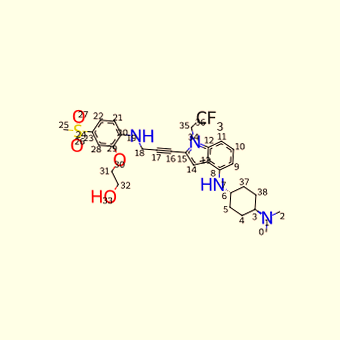 CN(C)[C@H]1CC[C@H](Nc2cccc3c2cc(C#CCNc2ccc(S(C)(=O)=O)cc2OCCO)n3CC(F)(F)F)CC1